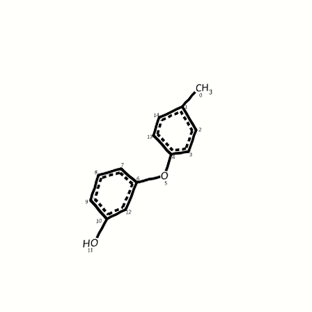 Cc1ccc(Oc2cccc(O)c2)cc1